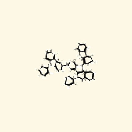 c1ccc(-c2cc3ccccc3c3c2c2cc(-c4ccc5c(c4)c4ccccc4n5-c4ccccc4)ccc2n3-c2cccc3c2oc2ccccc23)cc1